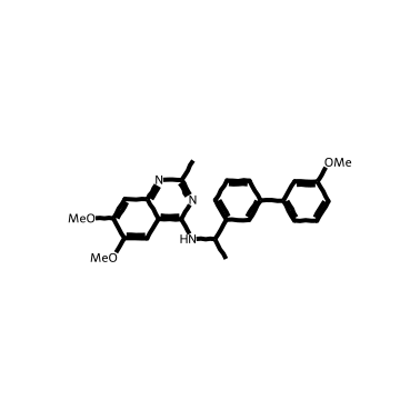 COc1cccc(-c2cccc(C(C)Nc3nc(C)nc4cc(OC)c(OC)cc34)c2)c1